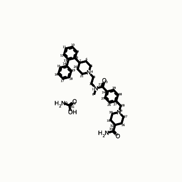 CN(CCN1CCC(c2ccccc2-c2ccccc2)CC1)C(=O)c1ccc(CN2CCC(C(N)=O)CC2)cc1.NC(=O)O